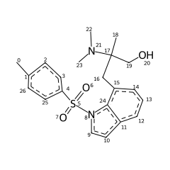 Cc1ccc(S(=O)(=O)n2ccc3cccc(CC(C)(CO)N(C)C)c32)cc1